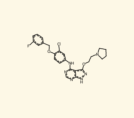 Fc1cccc(COc2ccc(Nc3ncnc4[nH]nc(OCCN5CCCC5)c34)cc2Cl)c1